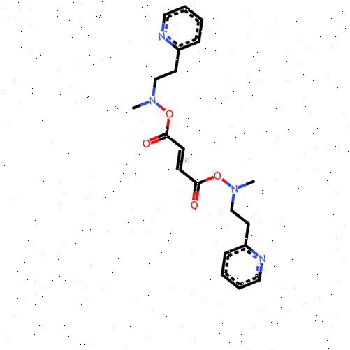 CN(CCc1ccccn1)OC(=O)/C=C/C(=O)ON(C)CCc1ccccn1